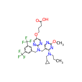 CCCN(CC1CC1)c1nc(OC)ncc1CN(Cc1cc(C(F)(F)F)cc(C(F)(F)F)c1)c1ncc(OCCCC(=O)O)cn1